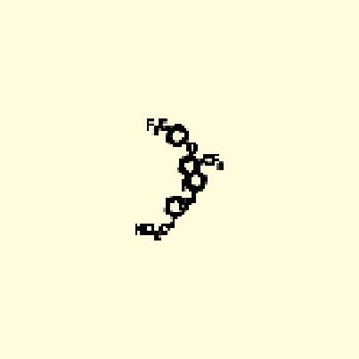 O=C(O)C[C@H]1CCCN(Cc2ccc3c(C(F)(F)F)c(O[C@H]4CC[C@@H](C(F)(F)F)CC4)ccc3n2)C1